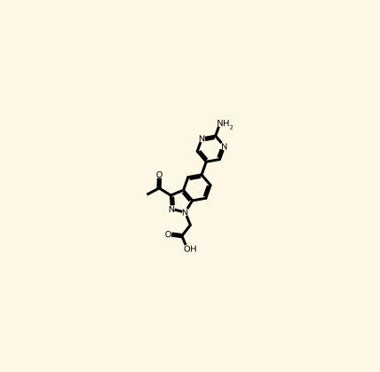 CC(=O)c1nn(CC(=O)O)c2ccc(-c3cnc(N)nc3)cc12